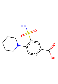 NS(=O)(=O)c1cc(C(=O)O)ccc1N1CCCCC1